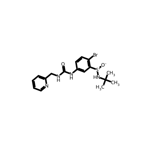 CC(C)(C)N[S+]([O-])c1cc(NC(=O)NCc2ccccn2)ccc1Br